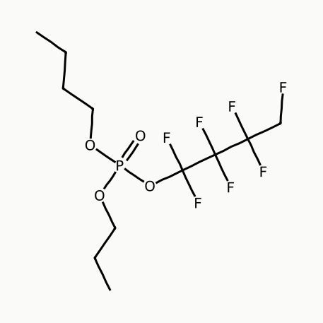 CCCCOP(=O)(OCCC)OC(F)(F)C(F)(F)C(F)(F)CF